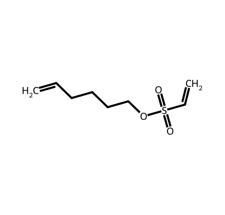 C=CCCCCOS(=O)(=O)C=C